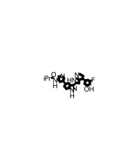 CC(C)C(=O)Nc1cncc(-c2ccc3[nH]nc(-c4cc5c(-c6cc(O)cc(F)c6)ccnc5[nH]4)c3c2)c1